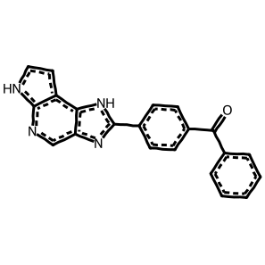 O=C(c1ccccc1)c1ccc(-c2nc3cnc4[nH]ccc4c3[nH]2)cc1